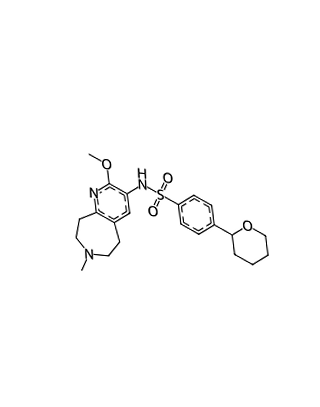 COc1nc2c(cc1NS(=O)(=O)c1ccc(C3CCCCO3)cc1)CCN(C)CC2